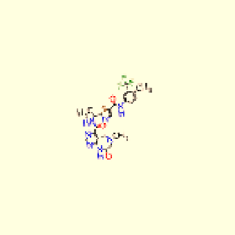 Cc1ccc(NC(=O)c2cnc(C(C)NC(=O)c3ncnc4c3CN(C)CC(=O)N4)s2)cc1C(F)(F)F